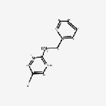 Ic1cnc(NCc2ccccn2)nc1